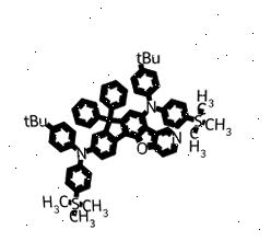 CC(C)(C)c1ccc(N(c2ccc(S(C)(C)C)cc2)c2ccc3c(c2)C(c2ccccc2)(c2ccccc2)c2cc(N(c4ccc(C(C)(C)C)cc4)c4ccc(S(C)(C)C)cc4)c4c(oc5ccncc54)c2-3)cc1